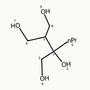 CCCC(O)(CO)C(CO)CO